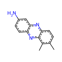 Cc1ccc2nc3cc(N)ccc3nc2c1C